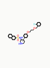 O=S(=O)(N[C@@H]1CNCC[C@@H]1c1ccc(OCCCOCc2ccccc2F)cc1)c1ccc2ccccc2c1